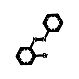 Brc1ccccc1N=Nc1ccccc1